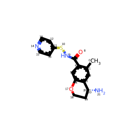 Cc1cc2c(cc1C(=O)NSc1ccncc1)OCC[C@H]2N